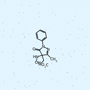 CC1=NN(c2ccccc2)C(=O)C1(CC(=O)O)NO